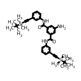 CC(C)(C)[Si](C)(C)C#Cc1cccc(NC(=O)c2cc(N)cc(C(=O)Nc3cccc(C#C[Si](C)(C)C(C)(C)C)c3)c2)c1